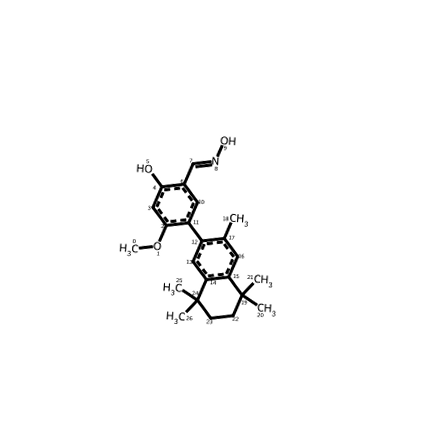 COc1cc(O)c(C=NO)cc1-c1cc2c(cc1C)C(C)(C)CCC2(C)C